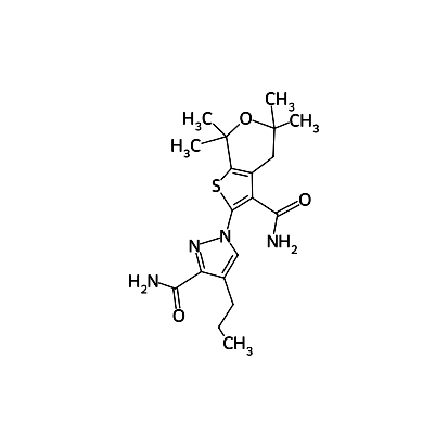 CCCc1cn(-c2sc3c(c2C(N)=O)CC(C)(C)OC3(C)C)nc1C(N)=O